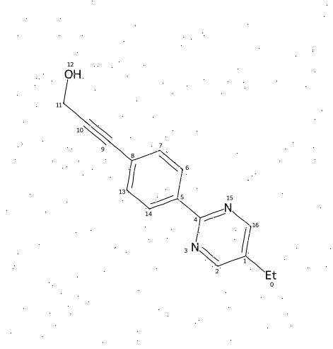 CCc1cnc(-c2ccc(C#CCO)cc2)nc1